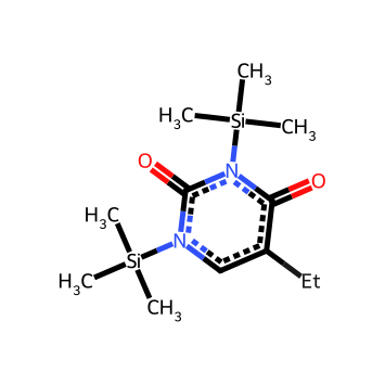 CCc1cn([Si](C)(C)C)c(=O)n([Si](C)(C)C)c1=O